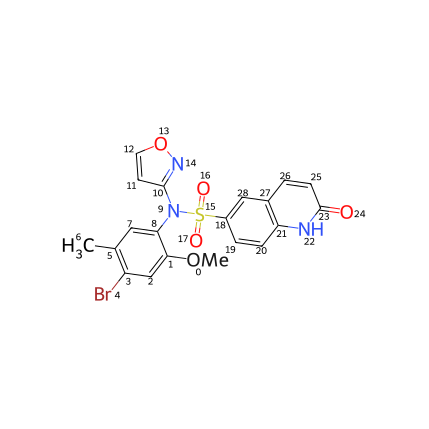 COc1cc(Br)c(C)cc1N(c1ccon1)S(=O)(=O)c1ccc2[nH]c(=O)ccc2c1